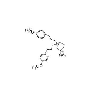 COc1ccc(CCC[N+]2(CCCc3ccc(OC)cc3)CCC[C@H](N)C2)cc1